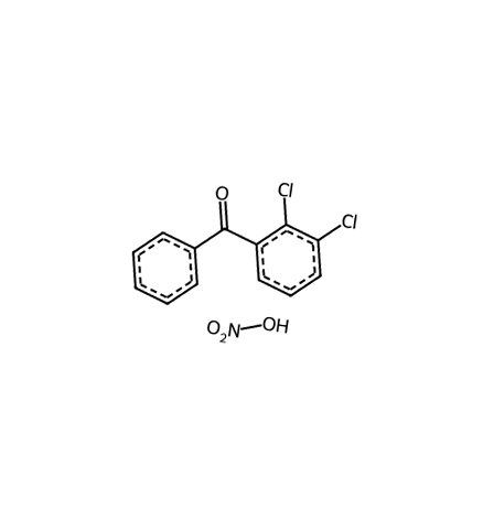 O=C(c1ccccc1)c1cccc(Cl)c1Cl.O=[N+]([O-])O